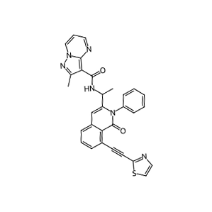 Cc1nn2cccnc2c1C(=O)NC(C)c1cc2cccc(C#Cc3nccs3)c2c(=O)n1-c1ccccc1